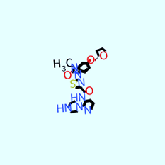 Cn1c(=O)n(-c2nc(C(=O)Nc3cccnc3N3CCNCC3)cs2)c2ccc(OC[C@@H]3CCCO3)cc21